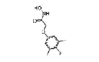 Cc1cc(OCC(=O)NO)cc(C)c1F